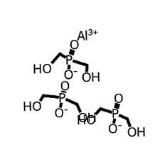 O=P([O-])(CO)CO.O=P([O-])(CO)CO.O=P([O-])(CO)CO.[Al+3]